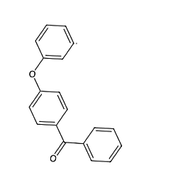 O=C(c1ccccc1)c1ccc(Oc2c[c]ccc2)cc1